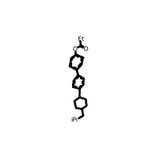 CCC(=O)Oc1ccc(-c2ccc(C3CCC(CC(C)C)CC3)cc2)cc1